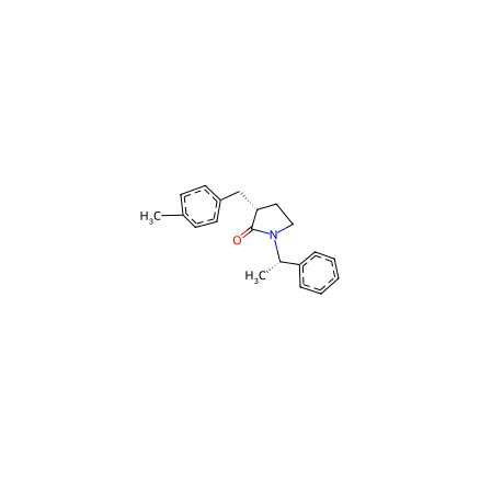 Cc1ccc(C[C@@H]2CCN([C@@H](C)c3ccccc3)C2=O)cc1